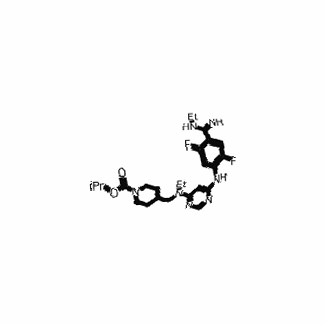 CCNC(=N)c1cc(F)c(Nc2cc(N(CC)CC3CCN(C(=O)OC(C)C)CC3)ncn2)cc1F